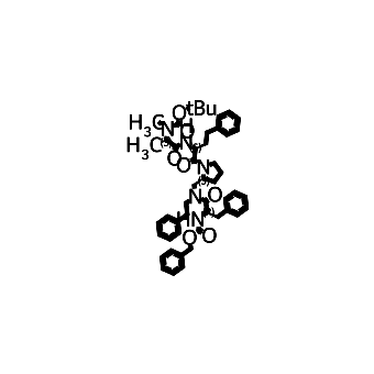 C[C@@H](C(=O)N[C@@H](CCc1ccccc1)C(=O)N1CCC[C@H]1CN(CCc1ccccc1)C(=O)[C@@H](Cc1ccccc1)NC(=O)OCc1ccccc1)N(C)C(=O)OC(C)(C)C